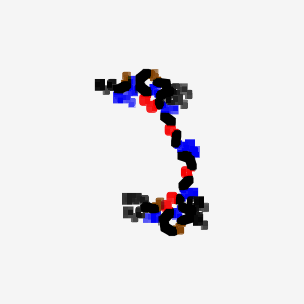 CN[C@@H](C)C(=S)N[C@H]1CCSC2CC(C)(C)[C@@H](C(=O)NCCOCc3cn(CCOCCNC(=O)[C@H]4N5C(=O)[C@@H](NC(=S)[C@H](C)N)CCSC5CC4(C)C)nn3)N2C1=O